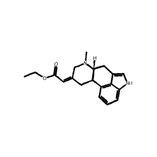 CCOC(=O)/C=C1/CC2c3cccc4[nH]cc(c34)C[C@H]2N(C)C1